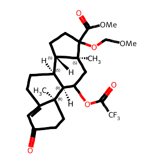 COCOC1(C(=O)OC)CC[C@H]2[C@@H]3CCC4=CC(=O)CC[C@]4(C)[C@@H]3C(OC(=O)C(F)(F)F)C[C@@]21C